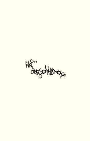 CCC(CO)NCCCC(=O)N1CCN(C(=O)c2ccc(Nc3nccn4c(-c5ccc(OC(F)F)cc5)cnc34)cc2C)CC1